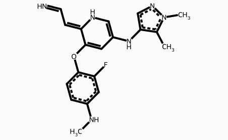 CNc1ccc(OC2=CC(Nc3cnn(C)c3C)=CN/C2=C\C=N)c(F)c1